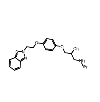 CC(C)NCC(O)COc1ccc(OCCn2nc3ccccc3n2)cc1